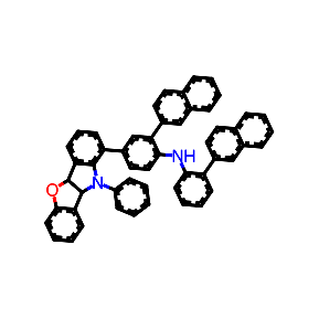 c1ccc(N2c3c(-c4ccc(Nc5ccccc5-c5ccc6ccccc6c5)c(-c5ccc6ccccc6c5)c4)cccc3C3Oc4ccccc4C32)cc1